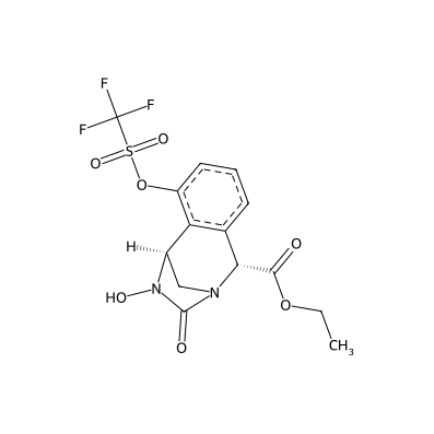 CCOC(=O)[C@H]1c2cccc(OS(=O)(=O)C(F)(F)F)c2[C@H]2CN1C(=O)N2O